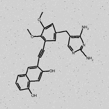 COc1cc(Cc2cnc(N)nc2N)cc(C#Cc2cc3cccc(O)c3cc2O)c1OC